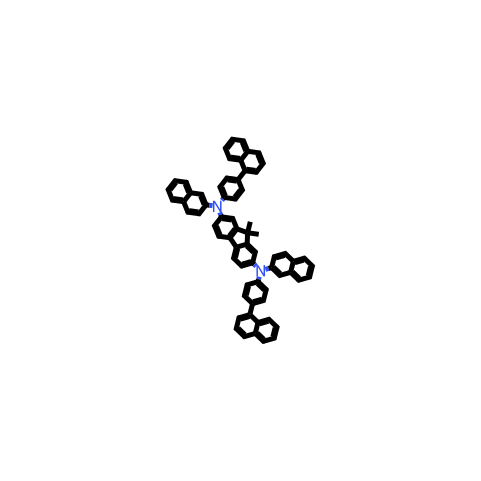 CC1(C)c2cc(N(c3ccc(-c4cccc5ccccc45)cc3)c3ccc4ccccc4c3)ccc2-c2ccc(N(c3ccc(-c4cccc5ccccc45)cc3)c3ccc4ccccc4c3)cc21